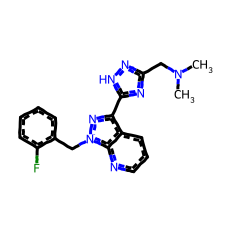 CN(C)Cc1n[nH]c(-c2nn(Cc3ccccc3F)c3ncccc23)n1